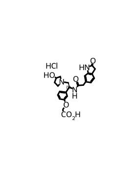 Cl.O=C(O)COc1cccc([C@@H](CN2CCC(O)C2)NC(=O)Cc2ccc3c(c2)NC(=O)C3)c1